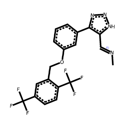 C/N=C/c1[nH]nnc1-c1cccc(OCc2cc(C(F)(F)F)ccc2C(F)(F)F)c1